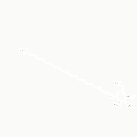 CCCCCCCCCCCCCCCCCCSCCO[C@@H]1O[C@H](CO)[C@@H](O)[C@H](O)[C@H]1O